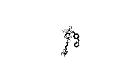 O=c1[nH]c2cnc(OCCCCOC(F)(F)F)nc2n1Cc1ccc(CN2CCCC2)cc1